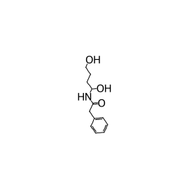 O=C(Cc1ccccc1)NC(O)CCCO